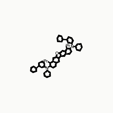 CC(C)c1c(N(c2ccccc2)c2cccc(-c3ccccc3)c2)ccc2cc3c(cc12)oc1cc2c(C(C)C)c(N(c4ccccc4)c4cccc(-c5ccccc5)c4)ccc2cc13